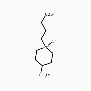 CCOC(=O)C1CC[N+]([O-])(CCCC(=O)O)CC1